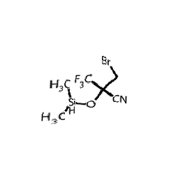 C[SiH](C)OC(C#N)(CBr)C(F)(F)F